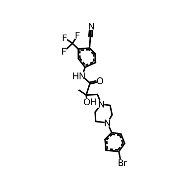 CC(O)(CN1CCN(c2ccc(Br)cc2)CC1)C(=O)Nc1ccc(C#N)c(C(F)(F)F)c1